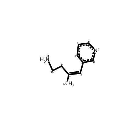 CC(=Cc1cccnc1)CCN